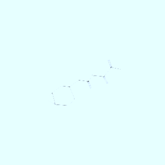 C=C(C)C(=O)NC(=O)CC1CCC2OC2C1